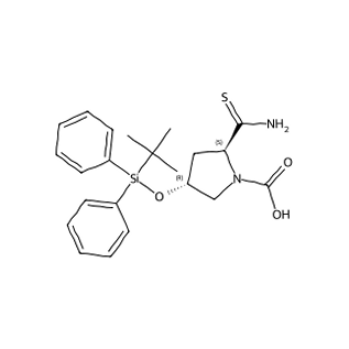 CC(C)(C)[Si](O[C@@H]1C[C@@H](C(N)=S)N(C(=O)O)C1)(c1ccccc1)c1ccccc1